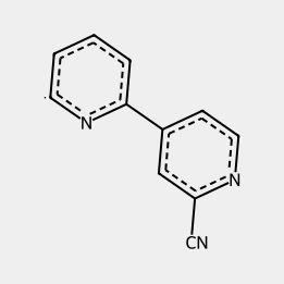 N#Cc1cc(-c2ccc[c]n2)ccn1